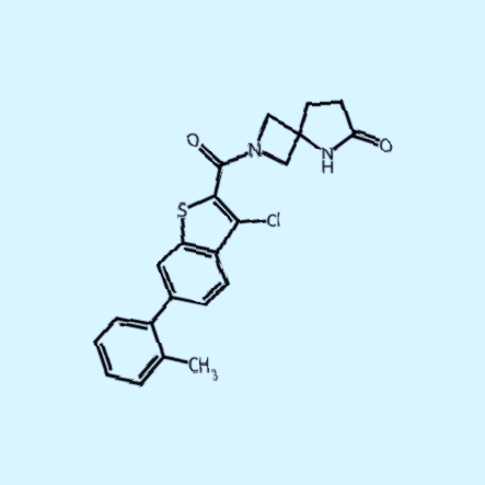 Cc1ccccc1-c1ccc2c(Cl)c(C(=O)N3CC4(CCC(=O)N4)C3)sc2c1